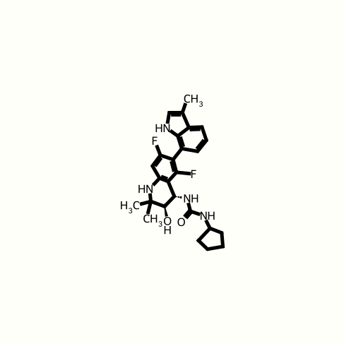 Cc1c[nH]c2c(-c3c(F)cc4c(c3F)[C@H](NC(=O)NC3CCCC3)[C@@H](O)C(C)(C)N4)cccc12